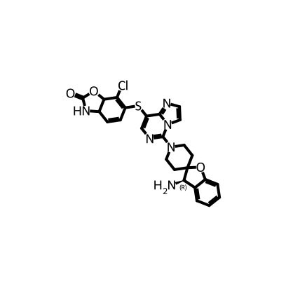 N[C@@H]1c2ccccc2OC12CCN(c1ncc(SC3=C(Cl)C4OC(=O)NC4C=C3)c3nccn13)CC2